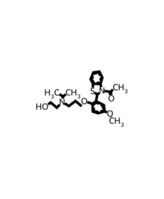 COc1ccc(OCCCN(CCO)C(C)C)c(C2Sc3ccccc3N2C(C)=O)c1